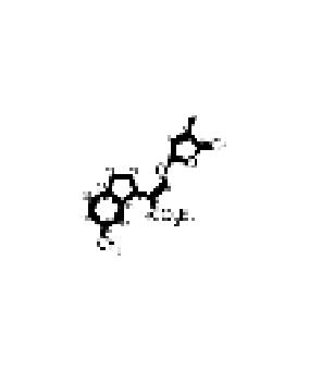 CCOC(=O)/C(=C/OC1C=C(C)C(=O)O1)C1CCc2ccc(C(F)(F)F)cc21